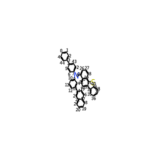 c1ccc(-c2ccc(N(c3cccc(-c4ccc5ccccc5c4)c3)c3cccc4c3ccc3c5ccccc5sc43)cc2)cc1